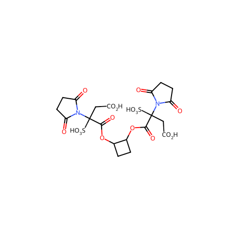 O=C(O)CC(C(=O)OC1CCC1OC(=O)C(CC(=O)O)(N1C(=O)CCC1=O)S(=O)(=O)O)(N1C(=O)CCC1=O)S(=O)(=O)O